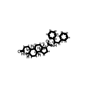 C[C@]12CCC(=O)N[C@@H]1CC[C@@H]1[C@@H]2CC[C@]2(C)[C@@H](C(=O)NC(Cc3ccccc3)c3ccccc3)CC[C@@H]12